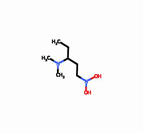 CCC(CCN(O)O)N(C)C